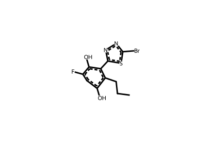 CCCc1c(O)cc(F)c(O)c1-c1nnc(Br)s1